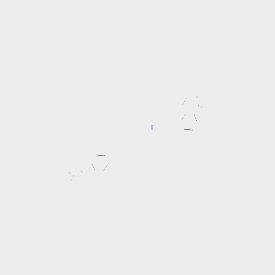 O=NC(=O)C(O)(c1cccc(OCCCCCNC[C@H](O)c2ccc(O)c3[nH]c(=O)ccc23)c1)C1CCCC1